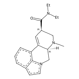 CCN(CC)C(=O)[C@@H]1C=C2c3cccc4ccn(c34)C[C@@H]2N(C)C1